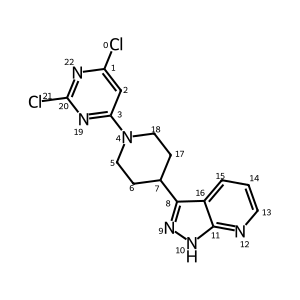 Clc1cc(N2CCC(c3n[nH]c4ncccc34)CC2)nc(Cl)n1